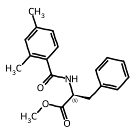 COC(=O)[C@H](Cc1ccccc1)NC(=O)c1ccc(C)cc1C